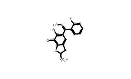 O=C(O)C1Cc2cc(/C(=N\O)c3ccccc3F)c(O)c(Cl)c2O1